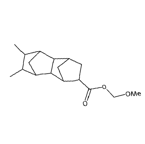 COCOC(=O)C1CC2CC1C1C3CC(C(C)C3C)C21